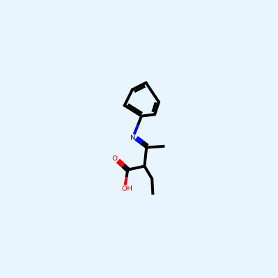 CCC(C(=O)O)C(C)=Nc1ccccc1